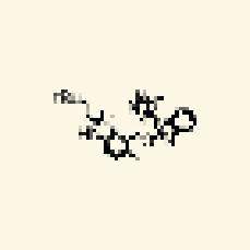 Cc1ccc(NC(=O)CCC(C)(C)C)nc1COc1nc2ccccc2n1-c1nnnn1C